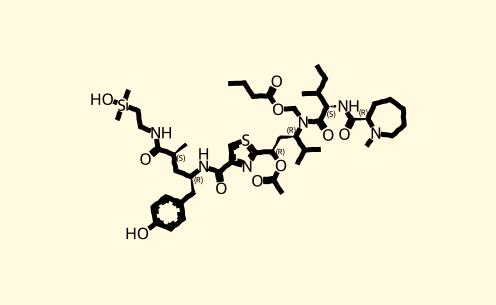 CCCC(=O)OCN(C(=O)[C@@H](NC(=O)[C@H]1CCCCCN1C)C(C)CC)[C@H](C[C@@H](OC(C)=O)c1nc(C(=O)N[C@@H](Cc2ccc(O)cc2)C[C@H](C)C(=O)NCC[Si](C)(C)O)cs1)C(C)C